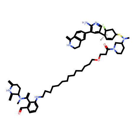 C=C1CCC(N(C)C(=C)c2c(C=O)cccc2NCCCCCCCCCCCCCCOCCC(=O)N2CCCC(N(C)SC3C=C[C@@](C)(c4cnc(N)c(-c5ccc6c(c5)CCNC6=C)c4)C(F)C3)C2)C(=C)N1